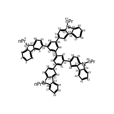 CCCn1c2ccccc2c2cc(-c3cc(-c4cc(-c5ccc6c(c5)c5ccccc5n6CCC)cc(-c5ccc6c(c5)c5ccccc5n6CCC)c4)cc(-c4ccc5c(c4)c4ccccc4n5CCC)c3)ccc21